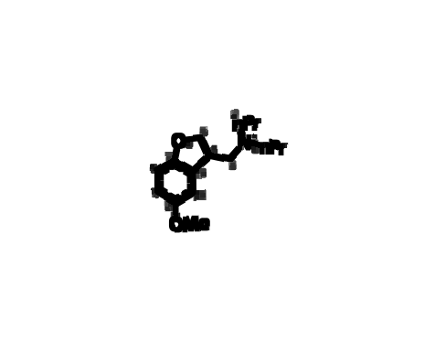 CCCN(CCC)CC1COc2ccc(OC)cc21